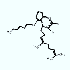 CCC=CCCOc1cccc2oc(=O)c(O)c(OCC=C(C)CCC=C(C)C)c12